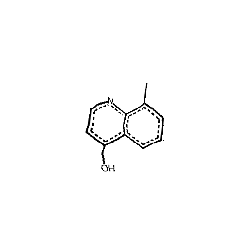 Cc1c[c]cc2c(O)ccnc12